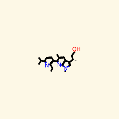 CCc1nc(C(C)C)ccc1-c1nc2c(cc1C)c([C@@H](C)CCO)cn2C